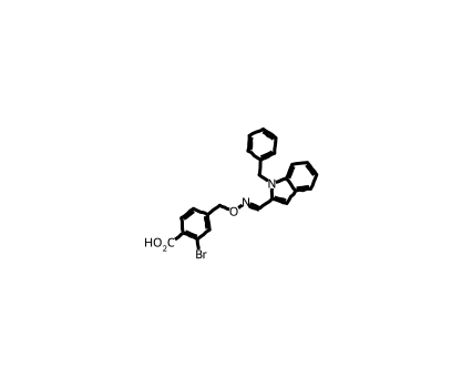 O=C(O)c1ccc(CON=Cc2cc3ccccc3n2Cc2ccccc2)cc1Br